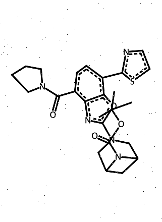 CC(C)(C)OC(=O)N1C2CC1CN(c1nc3c(C(=O)N4CCCC4)ccc(-c4nccs4)c3o1)C2